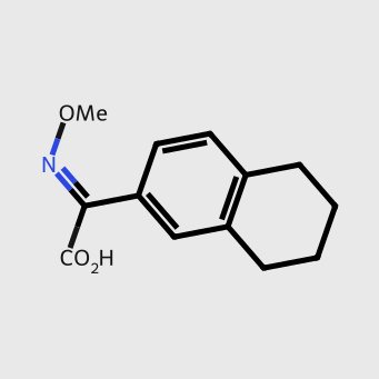 CO/N=C(/C(=O)O)c1ccc2c(c1)CCCC2